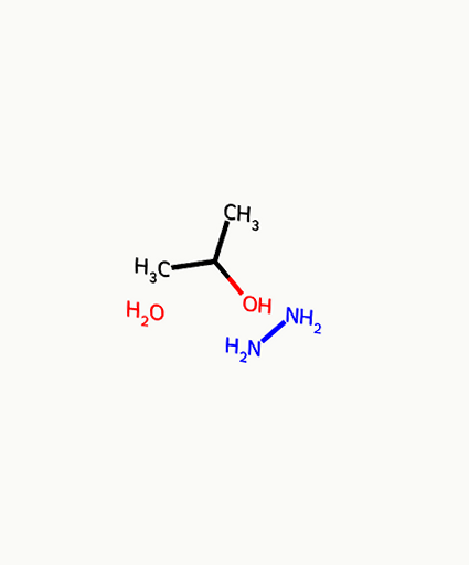 CC(C)O.NN.O